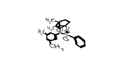 Cc1cc(C)cc(N([C@@H]2[CH][C@]3(C)CC[C@H]2C3(C)C)S(=O)(=O)c2ccccc2)c1